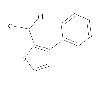 ClC(Cl)c1sccc1-c1ccccc1